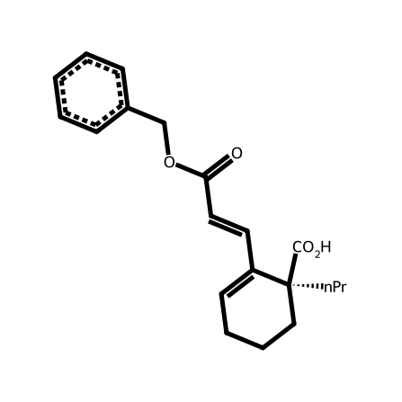 CCC[C@]1(C(=O)O)CCCC=C1/C=C/C(=O)OCc1ccccc1